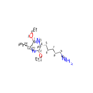 CCOC1=N[C@H](CCCCCN)C(OCC)=N[C@H]1C(C)C